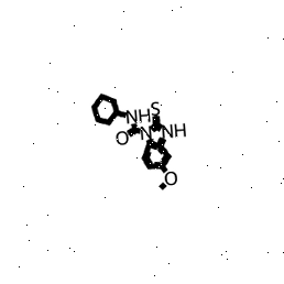 COc1ccc2c(c1)[nH]c(=S)n2C(=O)NC1CCCCC1